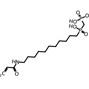 C=CC(=O)NCCCCCCCCCCCP(=O)(O)CP(=O)(O)O